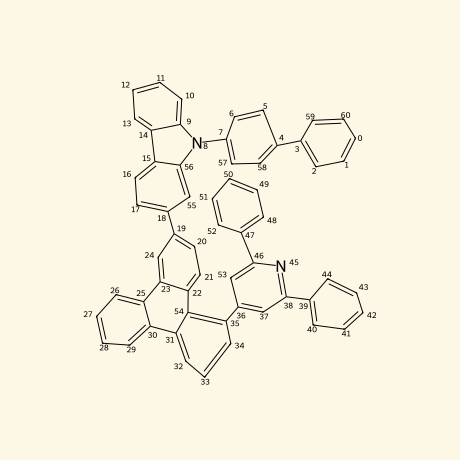 c1ccc(-c2ccc(-n3c4ccccc4c4ccc(-c5ccc6c(c5)c5ccccc5c5cccc(-c7cc(-c8ccccc8)nc(-c8ccccc8)c7)c56)cc43)cc2)cc1